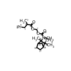 CC(C)CC(C)C(=O)OCOC(=O)N(C)C1(C)C2CCC(C2)C1(C)C